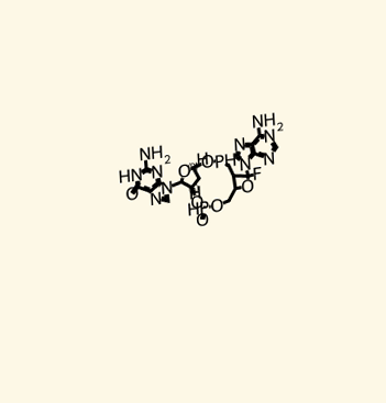 Nc1nc2c(ncn2C2O[C@H]3C[C@@H]2O[PH](=O)OCC2OC(F)(n4cnc5c(N)ncnc54)C2CPO3)c(=O)[nH]1